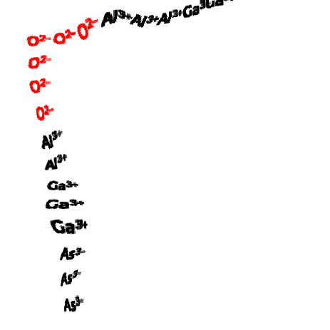 [Al+3].[Al+3].[Al+3].[Al+3].[Al+3].[As-3].[As-3].[As-3].[As-3].[As-3].[As-3].[Ga+3].[Ga+3].[Ga+3].[Ga+3].[Ga+3].[O-2].[O-2].[O-2].[O-2].[O-2].[O-2]